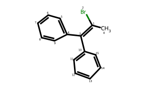 CC(Br)=C(c1ccccc1)c1ccccc1